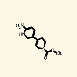 CC(C)(C)OC(=O)N1CC=C(C2=CC=C([N+](=O)[O-])NC2)CC1